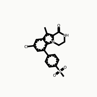 Cc1c2n(c3c(-c4ccc(S(C)(=O)=O)cc4)cc(Cl)cc13)CCNC2=O